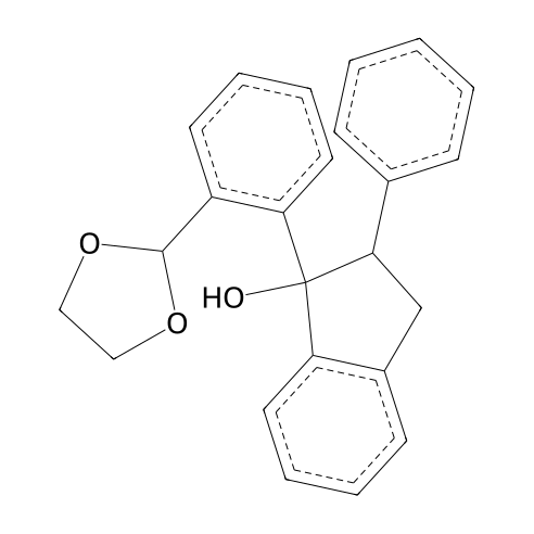 OC1(c2ccccc2C2OCCO2)c2ccccc2CC1c1ccccc1